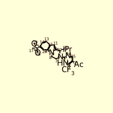 CC(=O)C1=C(C(F)(F)F)NC(N2CCn3c(cc4ccc(S(C)(=O)=O)cc43)[C@H]2C(C)C)N=C1